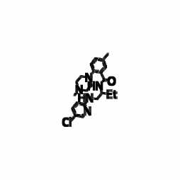 CCC(CNc1ccc(Cl)cn1)NC(=O)c1cc(C)ccc1N1CCN(C)CC1